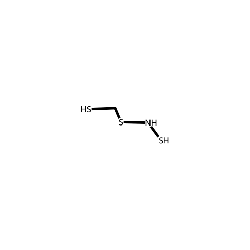 SCSNS